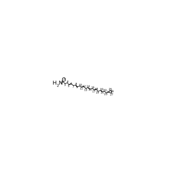 NC(=O)CCC=CCC=CCC=CCC=CCC=CCC=CCCC1CCC1